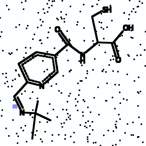 CC(C)(C)/N=C\c1ccc(C(=O)NC(CS)C(=O)O)cn1